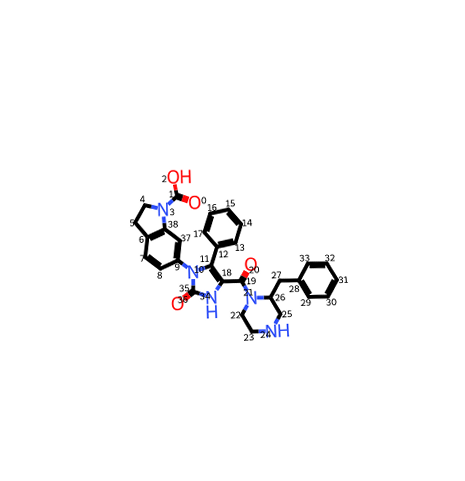 O=C(O)N1CCc2ccc(-n3c(-c4ccccc4)c(C(=O)N4CCNCC4Cc4ccccc4)[nH]c3=O)cc21